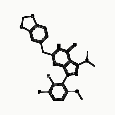 COc1ccc(F)c(F)c1-n1nc(N(C)C)c2c(=O)[nH]c(Cc3ccc4c(c3)OCO4)nc21